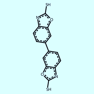 Sc1nc2ccc(-c3ccc4nc(S)oc4c3)cc2o1